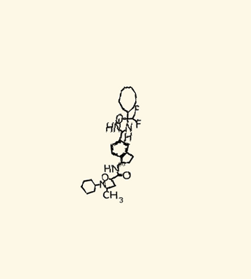 CC1CC(C(=O)N[C@@H]2CCc3cc(C4NOC(C(F)F)(C5CCCCCCCC5)N4)ccc32)ON1C1CCCCC1